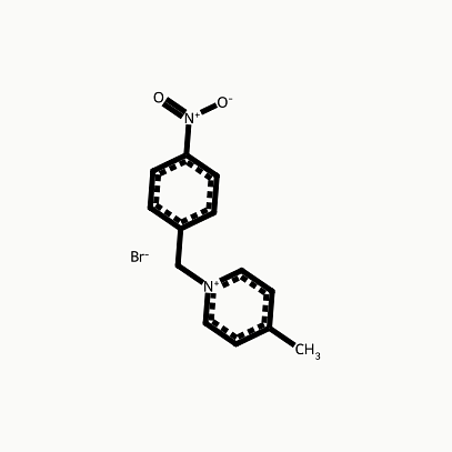 Cc1cc[n+](Cc2ccc([N+](=O)[O-])cc2)cc1.[Br-]